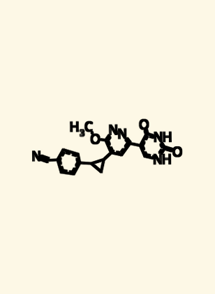 COc1nnc(-c2c[nH]c(=O)[nH]c2=O)cc1C1CC1c1ccc(C#N)cc1